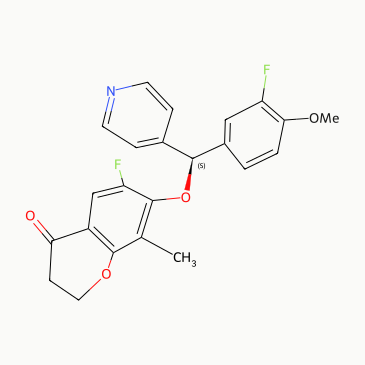 COc1ccc([C@@H](Oc2c(F)cc3c(c2C)OCCC3=O)c2ccncc2)cc1F